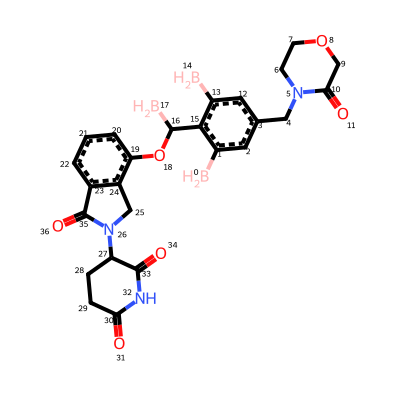 Bc1cc(CN2CCOCC2=O)cc(B)c1C(B)Oc1cccc2c1CN(C1CCC(=O)NC1=O)C2=O